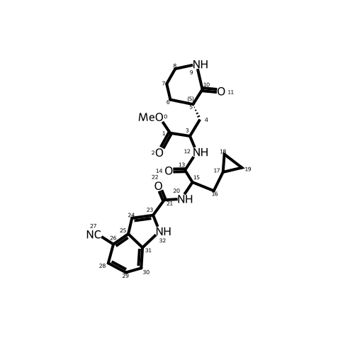 COC(=O)C(C[C@@H]1CCCNC1=O)NC(=O)C(CC1CC1)NC(=O)c1cc2c(C#N)cccc2[nH]1